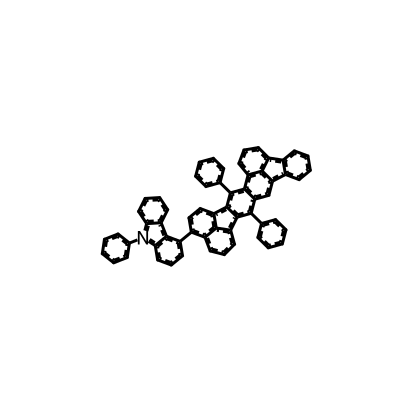 c1ccc(-c2c3cc4c5ccccc5c5cccc(c3c(-c3ccccc3)c3c6ccc(-c7cccc8c7c7ccccc7n8-c7ccccc7)c7cccc(c23)c76)c54)cc1